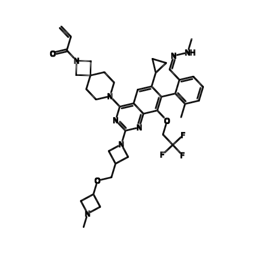 C=CC(=O)N1CC2(CCN(c3nc(N4CC(COC5CN(C)C5)C4)nc4c(OCC(F)(F)F)c(-c5c(C)cccc5/C=N\NC)c(C5CC5)cc34)CC2)C1